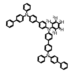 [2H]c1c([2H])c([2H])c(N(c2ccc(-c3ccc(N(c4ccccc4)c4ccc(-c5ccccc5)cc4)cc3)cc2)c2ccc(-c3ccc(N(c4ccccc4)c4ccc(-c5ccccc5)cc4)cc3)cc2)c([2H])c1[2H]